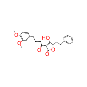 COc1ccc(CCCC(=O)C2=C(O)C(CCc3ccccc3)OC2=O)cc1OC